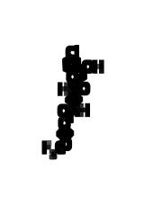 O=C(CO[C@H]1C[C@@H](OC(F)(F)F)C1)NC12CC(NC(=O)C3CC(O)c4cc(Cl)ccc4O3)(C1)C2